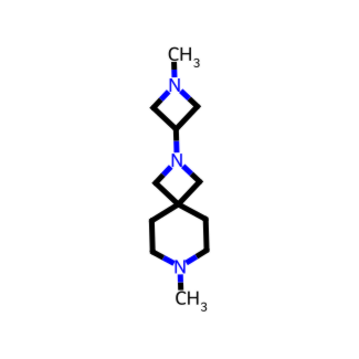 CN1CCC2(CC1)CN(C1CN(C)C1)C2